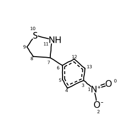 O=[N+]([O-])c1ccc(C2CCSN2)cc1